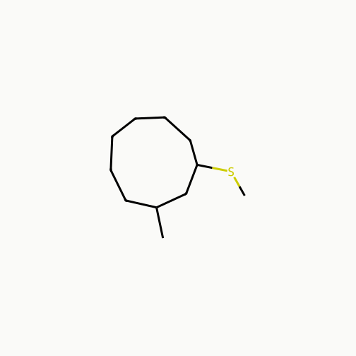 CSC1CCCCCCC(C)C1